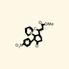 COC(=O)/C=C(\C)C1=CCC(=O)C(c2ccc([N+](=O)[O-])cc2)=C1N1C=CC=CC1